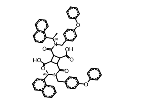 C[C@H](c1cccc2ccccc12)N(Cc1ccc(Oc2ccccc2)cc1)C(=O)C1C(C(=O)O)C(C(=O)N(Cc2ccc(Oc3ccccc3)cc2)[C@H](C)c2cccc3ccccc23)C1C(=O)O